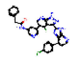 O=C(Cc1ccccc1)Nc1cncc(-c2cnc3[nH]nc(-c4nc5c(-c6ccc(F)cc6)ccnc5[nH]4)c3c2F)c1